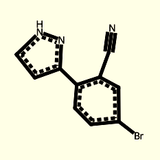 N#Cc1cc(Br)ccc1-c1cc[nH]n1